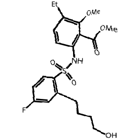 CCc1ccc(NS(=O)(=O)c2ccc(F)cc2CCCCO)c(C(=O)OC)c1OC